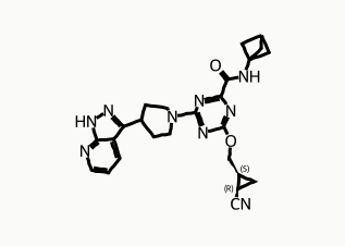 N#C[C@@H]1C[C@@H]1COc1nc(C(=O)NC23CC(C2)C3)nc(N2CCC(c3n[nH]c4ncccc34)CC2)n1